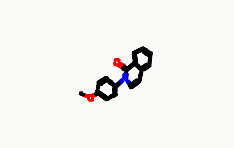 COc1ccc(-n2ccc3ccccc3c2=O)cc1